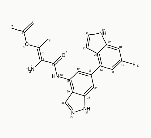 C=C(C)O/C(C)=C(\N)C(=O)Nc1cc(-c2cc(F)cc3[nH]ccc23)cc2[nH]ncc12